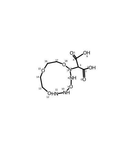 O=C(O)C(C(=O)O)N1NONNOCCOCCO1